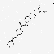 CCCOC(=O)CC1CCc2cc(NC(=O)c3ccc(C=NN4CCSCC4)cc3)ccc2C1